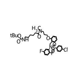 CN(CCCOc1ccccc1CN(c1cc(F)ccc1F)S(=O)(=O)c1ccc(Cl)cc1)C(=O)CCCCCNC(=O)OC(C)(C)C